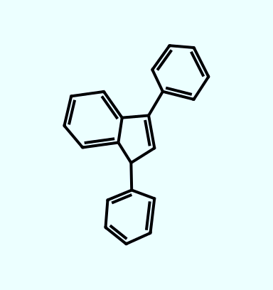 C1=C(c2ccccc2)c2ccccc2C1c1ccccc1